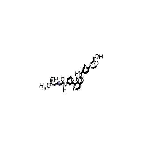 CN(C)C/C=C/C(=O)Nc1ccnc(-c2nccc3cnc(Nc4ccc(N5CCOC(CO)C5)nc4)nc23)c1